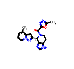 Cc1nnc(C(=O)N2CCc3[nH]cnc3[C@H]2c2cc3c(C(F)(F)F)cccn3n2)o1